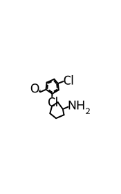 NC1CCCCC1.O=Cc1ccc(Cl)cc1Cl